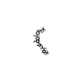 CCc1cc(-c2cc(CC(=O)Nc3cccc(C(F)(F)F)c3)nn2C)cc2cnc(NC3CCC(NC(=O)OC(C)(C)C)CC3)nc12